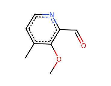 COc1c(C)ccnc1C=O